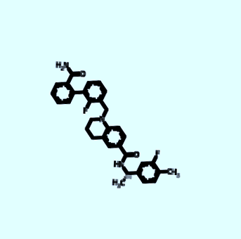 Cc1ccc([C@H](C)NC(=O)c2ccc3c(c2)CCCN3Cc2cccc(-c3ccccc3C(N)=O)c2F)cc1F